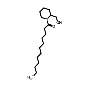 CCCCCCCCCCCC(=O)N1CCCCC1CO